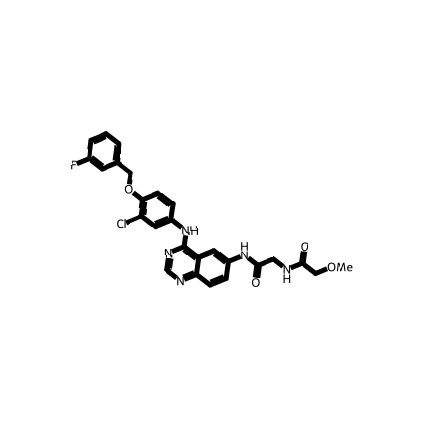 COCC(=O)NCC(=O)Nc1ccc2ncnc(Nc3ccc(OCc4cccc(F)c4)c(Cl)c3)c2c1